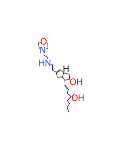 CCCC[C@](C)(O)C/C=C/C1C2CC(CCNCCN3CCOCC3)=C[C@H]2C[C@H]1O